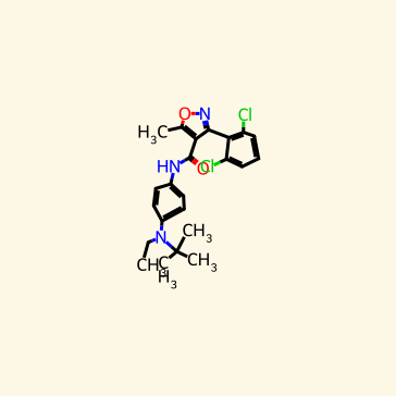 CCN(c1ccc(NC(=O)c2c(-c3c(Cl)cccc3Cl)noc2C)cc1)C(C)(C)C